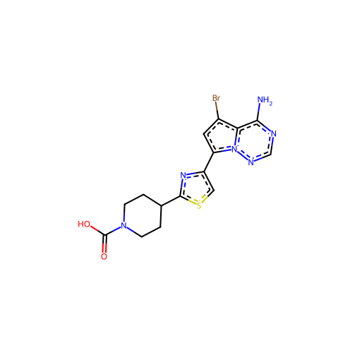 Nc1ncnn2c(-c3csc(C4CCN(C(=O)O)CC4)n3)cc(Br)c12